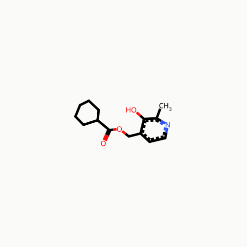 Cc1nccc(COC(=O)C2CCCCC2)c1O